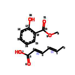 C/C=C/C=C/C(=O)O.COC(=O)c1ccccc1O